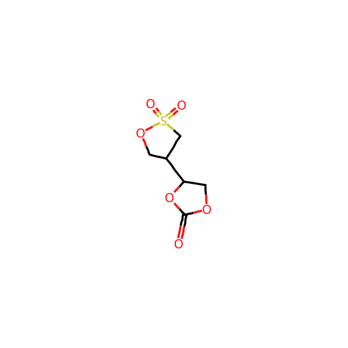 O=C1OCC(C2COS(=O)(=O)C2)O1